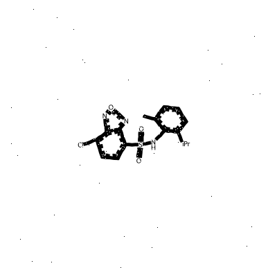 Cc1cccc(C(C)C)c1NS(=O)(=O)c1ccc(Cl)c2nonc12